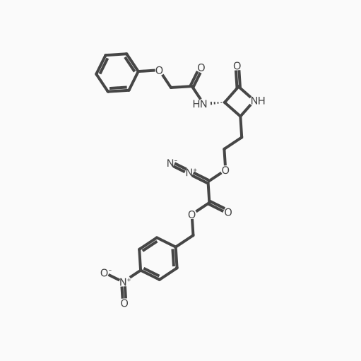 [N-]=[N+]=C(OCCC1NC(=O)[C@H]1NC(=O)COc1ccccc1)C(=O)OCc1ccc([N+](=O)[O-])cc1